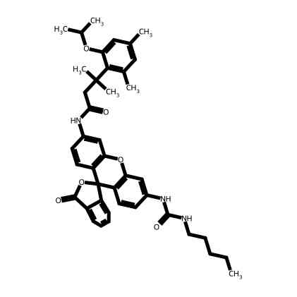 CCCCCNC(=O)Nc1ccc2c(c1)Oc1cc(NC(=O)CC(C)(C)c3c(C)cc(C)cc3OC(C)C)ccc1C21OC(=O)c2ccccc21